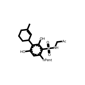 CCCCCc1cc(O)c(C2C=C(C)CCC2)c(O)c1S(=O)(=O)NCC(C)=O